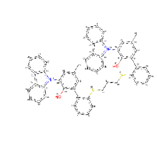 Cc1cc(-c2ccccc2SCCCSc2ccccc2-c2cc(C)cc(-n3c4ccccc4c4ccccc43)c2O)c(O)c(-n2c3ccccc3c3ccccc32)c1